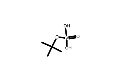 CC(C)(C)[O][V](=[O])([OH])[OH]